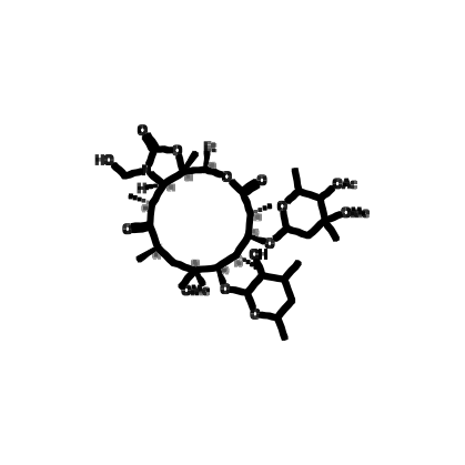 CC[C@H]1OC(=O)[C@H](C)[C@@H](OC2CC(C)(OC)C(OC(C)=O)C(C)O2)[C@H](C)[C@@H](OC2OC(C)CC(C)C2O)[C@@](C)(OC)C[C@@H](C)C(=O)[C@H](C)[C@H]2N(CO)C(=O)O[C@]12C